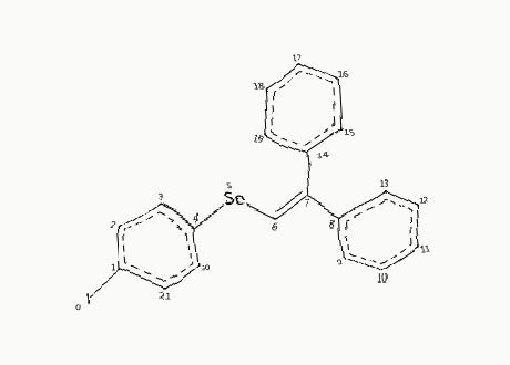 Ic1ccc([Se]C=C(c2ccccc2)c2ccccc2)cc1